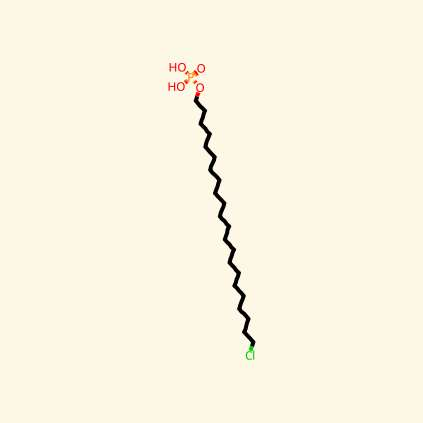 O=P(O)(O)OCCCCCCCCCCCCCCCCCCCCCCCl